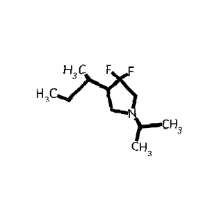 CCC(C)C1CN(C(C)C)CC1(F)F